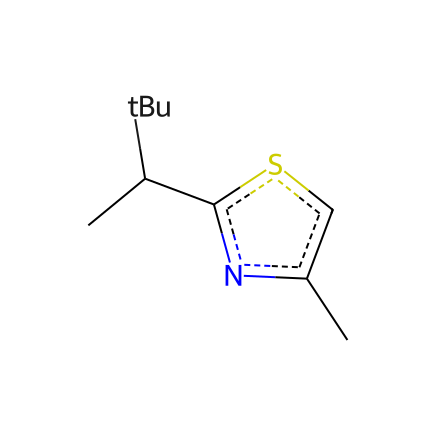 Cc1csc(C(C)C(C)(C)C)n1